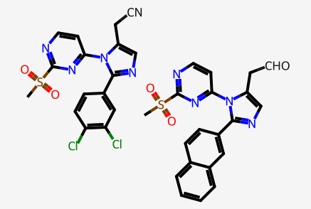 CS(=O)(=O)c1nccc(-n2c(CC#N)cnc2-c2ccc(Cl)c(Cl)c2)n1.CS(=O)(=O)c1nccc(-n2c(CC=O)cnc2-c2ccc3ccccc3c2)n1